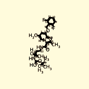 Cc1cc(OCc2c(F)cccc2F)c2nc(C)c(C(=O)NCCC(C)(C)NC(O)OC(C)(C)C)n2c1